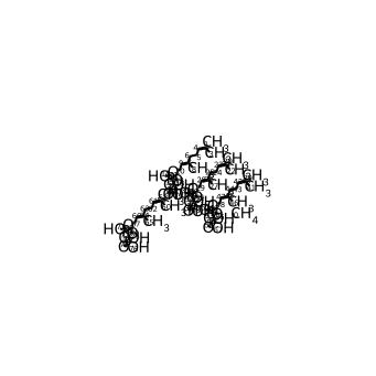 C.CC(C)=CCC/C(C)=C/COP(=O)(O)OP(=O)(O)O.CC(C)=CCC/C(C)=C/COP(=O)(O)OP(=O)(O)O.CC(C)=CCC/C(C)=C/COP(=O)(O)OP(=O)(O)O.CC(C)=CCC/C(C)=C/COP(=O)(O)OP(=O)(O)O